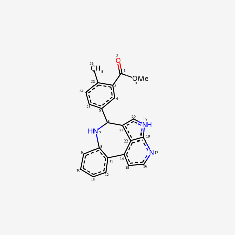 COC(=O)c1cc(C2Nc3ccccc3-c3ccnc4[nH]cc2c34)ccc1C